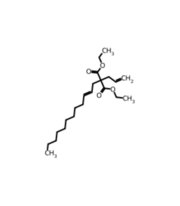 C=CCC(C/C=C/CCCCCCCCC)(C(=O)OCC)C(=O)OCC